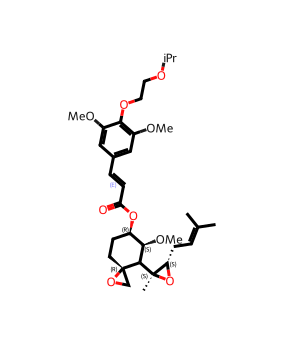 COc1cc(/C=C/C(=O)O[C@@H]2CC[C@]3(CO3)C([C@]3(C)O[C@H]3CC=C(C)C)[C@@H]2OC)cc(OC)c1OCCOC(C)C